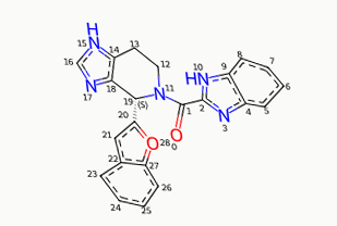 O=C(c1nc2ccccc2[nH]1)N1CCc2[nH]cnc2[C@H]1c1cc2ccccc2o1